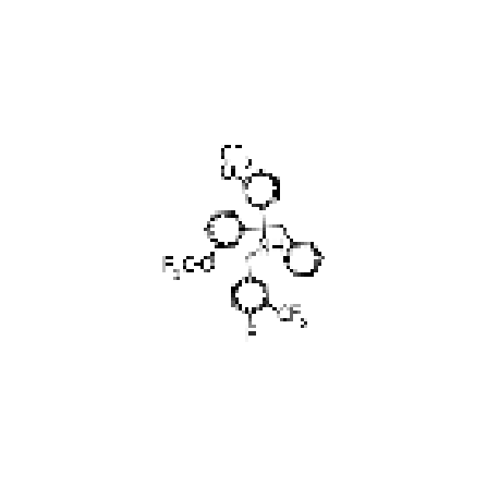 Fc1ccc(CNC(Cc2ccccc2)(c2cccc(OC(F)(F)F)c2)c2cccc(OC(F)(F)F)c2)cc1C(F)(F)F